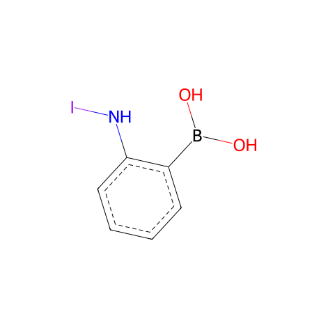 OB(O)c1ccccc1NI